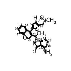 CC(C1=C(c2ccc(CN(C)C)s2)c2ccccc2OC1)n1nc(I)c2c(N)ncnc21